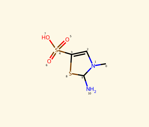 CN1C=C(S(=O)(=O)O)SC1N